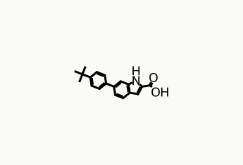 CC(C)(C)c1ccc(-c2ccc3cc(C(=O)O)[nH]c3c2)cc1